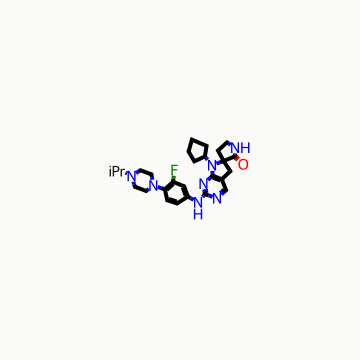 CC(C)N1CCN(c2ccc(Nc3ncc4c(n3)N(C3CCCC3)C3(CCNC3=O)C4)cc2F)CC1